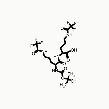 CC(C)(C)OC(=O)NC(CCCNC(=O)C(F)(F)F)C(=O)NC(CCCNC(=O)C(F)(F)F)C(=O)O